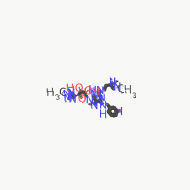 Cn1cnc(CCNc2nc(NCc3cccc(I)c3)c3ncn([C@@H]4O[C@H](c5nnn(C)n5)[C@@H](O)[C@H]4O)c3n2)c1